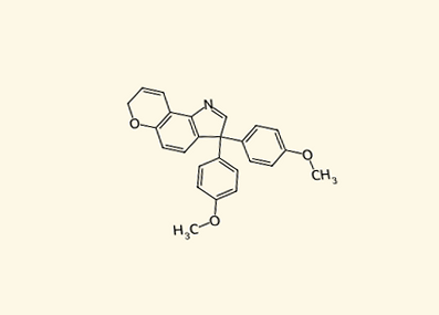 COc1ccc(C2(c3ccc(OC)cc3)C=Nc3c2ccc2c3C=CCO2)cc1